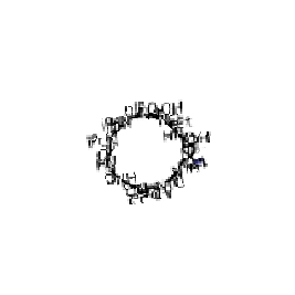 C/C=C/C[C@@H](C)[C@@H](O)[C@H]1C(=O)N[C@@H](CC)C(=O)N(C)C(CO)C(=O)N(C)[C@@H](C(C)C)C(=O)N[C@@H](C(C)C)C(=O)N(C)[C@@H](CC(C)C)C(=O)N[C@@H](C)C(=O)N[C@H](C)C(=O)N(C)[C@@H](CC(C)C)C(=O)N(C)[C@@H](CC(C)C)C(=O)N(C)[C@@H](C(C)C)C(=O)N1C